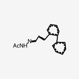 CC(=O)NN=C/C=C/c1ccccc1-c1ccccc1